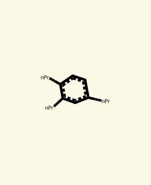 [CH2]CCc1ccc(CCC)cc1CCC